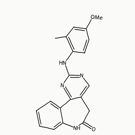 COc1ccc(Nc2ncc3c(n2)-c2ccccc2NC(=O)C3)c(C)c1